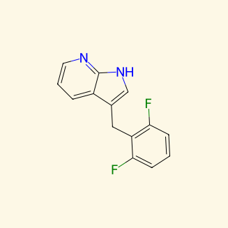 Fc1cccc(F)c1Cc1c[nH]c2ncccc12